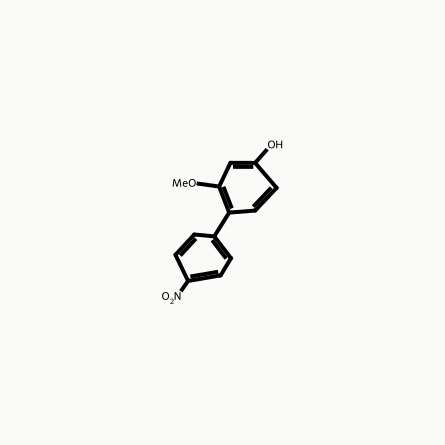 COc1cc(O)ccc1-c1ccc([N+](=O)[O-])cc1